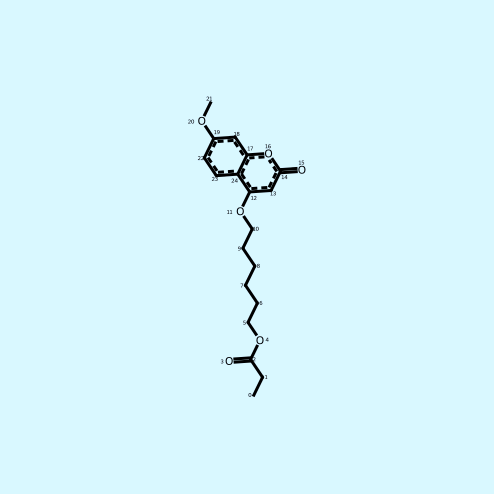 CCC(=O)OCCCCCCOc1cc(=O)oc2cc(OC)ccc12